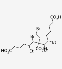 CCOC(=O)C(CCBr)(C(Br)C(CC)CCCCC(=O)O)C(Br)C(CC)CCCC(=O)O